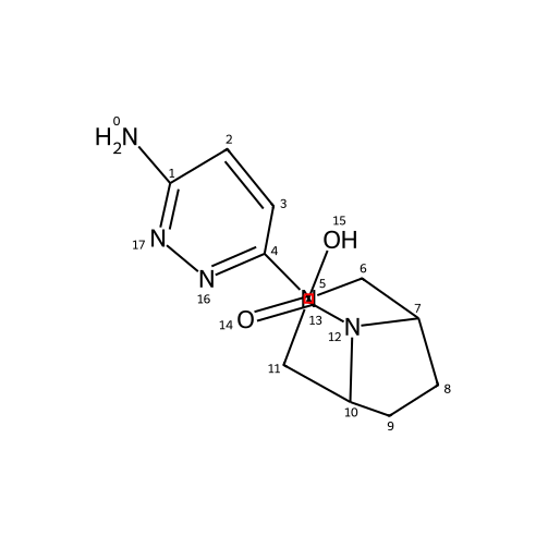 Nc1ccc(N2CC3CCC(C2)N3C(=O)O)nn1